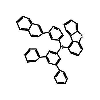 c1ccc(-c2cc(-c3ccccc3)cc(N(c3cccc(-c4ccc5ccccc5c4)c3)c3cccc4sc5ccccc5c34)c2)cc1